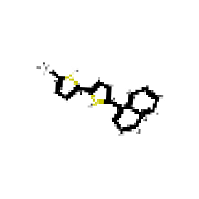 Cc1ccc(-c2ccc(-c3cccc4ccccc34)s2)s1